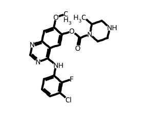 COc1cc2ncnc(Nc3cccc(Cl)c3F)c2cc1OC(=O)N1CCNCC1C